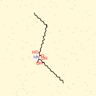 CCCCCCCC/C=C\CCCCCCCCCCCCC(O)C(=O)NC(CO)C(O)/C=C/CCCCCCCCCCCCC